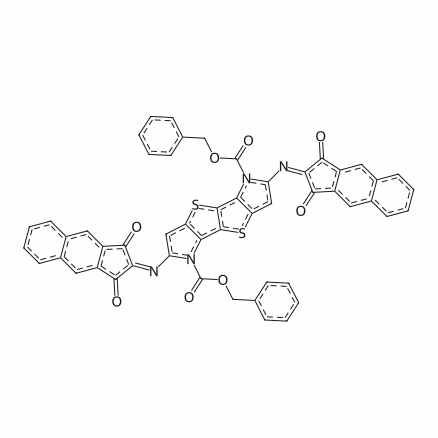 O=C(OCc1ccccc1)n1c(N=c2c(=O)c3cc4ccccc4cc3c2=O)cc2sc3c(sc4cc(N=c5c(=O)c6cc7ccccc7cc6c5=O)n(C(=O)OCc5ccccc5)c43)c21